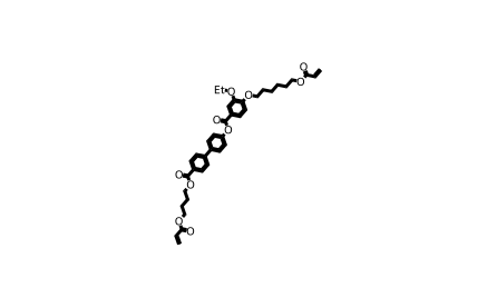 C=CC(=O)OCCCCCCOc1ccc(C(=O)Oc2ccc(-c3ccc(C(=O)OCCCCOC(=O)C=C)cc3)cc2)cc1OCC